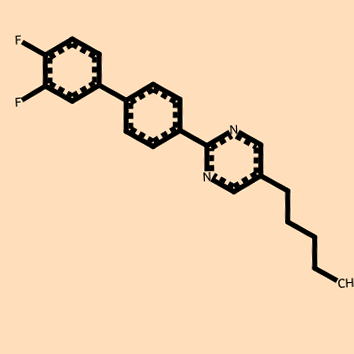 CCCCCc1cnc(-c2ccc(-c3ccc(F)c(F)c3)cc2)nc1